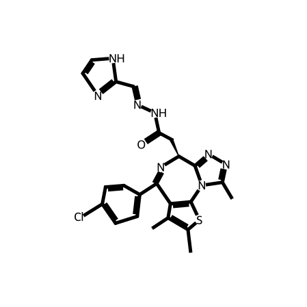 Cc1sc2c(c1C)C(c1ccc(Cl)cc1)=N[C@@H](CC(=O)N/N=C/c1ncc[nH]1)c1nnc(C)n1-2